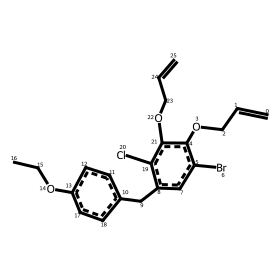 C=CCOc1c(Br)cc(Cc2ccc(OCC)cc2)c(Cl)c1OCC=C